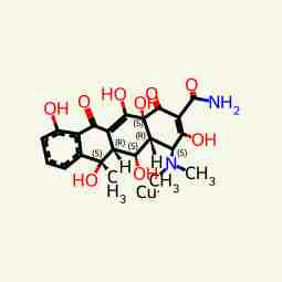 CN(C)[C@@H]1C(O)=C(C(N)=O)C(=O)[C@@]2(O)C(O)=C3C(=O)c4c(O)cccc4[C@@](C)(O)[C@H]3[C@H](O)[C@@H]12.[Cu]